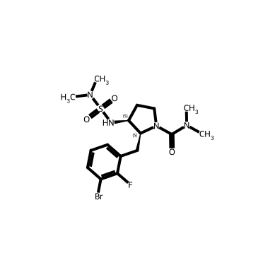 CN(C)C(=O)N1CC[C@H](NS(=O)(=O)N(C)C)[C@@H]1Cc1cccc(Br)c1F